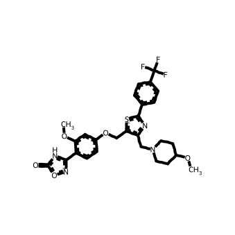 COc1cc(OCc2sc(-c3ccc(C(F)(F)F)cc3)nc2CN2CCC(OC)CC2)ccc1-c1noc(=O)[nH]1